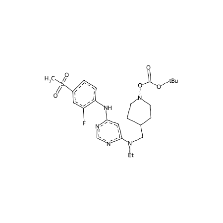 CCN(CC1CCN(OC(=O)OC(C)(C)C)CC1)c1cc(Nc2ccc(S(C)(=O)=O)cc2F)ncn1